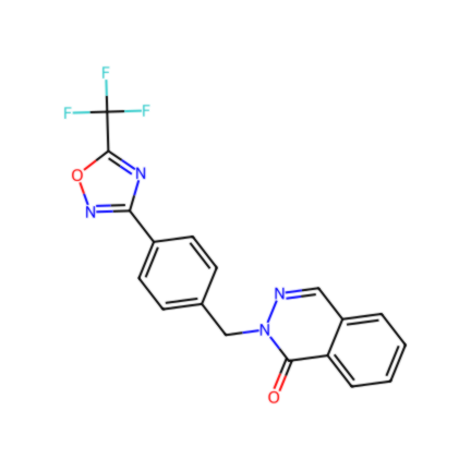 O=c1c2ccccc2cnn1Cc1ccc(-c2noc(C(F)(F)F)n2)cc1